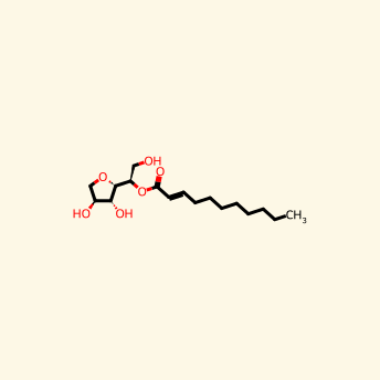 CCCCCCCCC=CC(=O)O[C@H](CO)[C@H]1OC[C@H](O)[C@H]1O